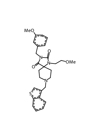 COCCN1C(=O)N(Cc2cccc(OC)c2)C(=O)C12CCN(Cc1csc3ccccc13)CC2